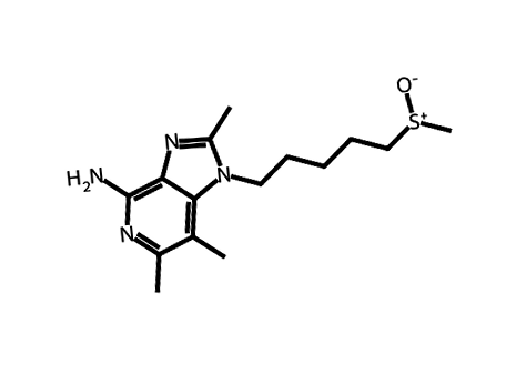 Cc1nc(N)c2nc(C)n(CCCCC[S+](C)[O-])c2c1C